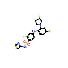 O=S(=O)(Nc1cscn1)c1ccc(Nc2ccc(F)cc2N2CC[C@@H](F)C2)cc1F